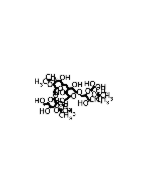 C[C@H](O)C(COC1OC(CO)C(O)C(CC2OC(COC3OC(CO)C(O)C(OC(C)(C)C)C3O)C3OC(C)(C)OC3C2O)C1O)OC(OC(C)(C)C)C(O)O